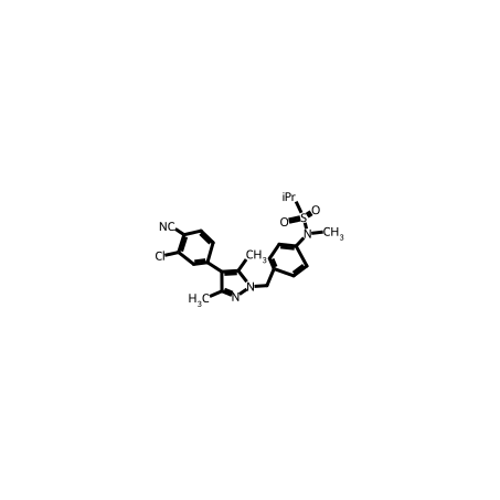 Cc1nn(Cc2ccc(N(C)S(=O)(=O)C(C)C)cc2)c(C)c1-c1ccc(C#N)c(Cl)c1